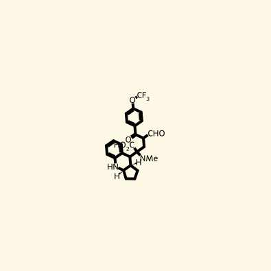 CNC(CC(C=O)C(=O)c1ccc(OC(F)(F)F)cc1)(C(=O)O)C1c2ccccc2N[C@@H]2CCC[C@H]12